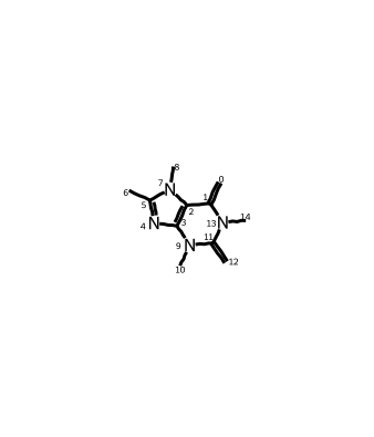 C=C1c2c(nc(C)n2C)N(C)C(=C)N1C